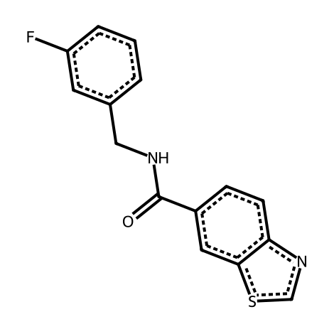 O=C(NCc1cccc(F)c1)c1ccc2ncsc2c1